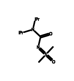 CC(C)N(C(=O)N=S(C)(C)=O)C(C)C